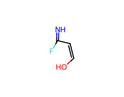 N=C(F)/C=C\O